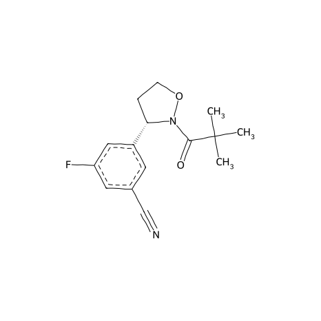 CC(C)(C)C(=O)N1OCC[C@H]1c1cc(F)cc(C#N)c1